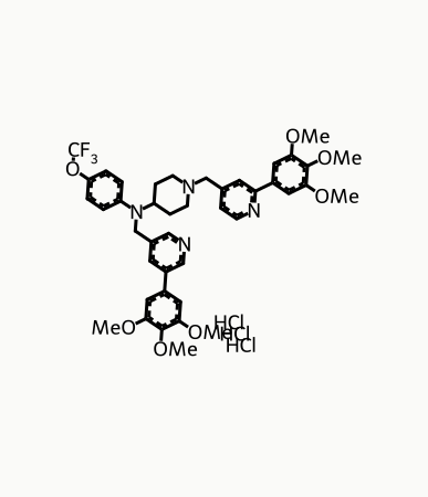 COc1cc(-c2cncc(CN(c3ccc(OC(F)(F)F)cc3)C3CCN(Cc4ccnc(-c5cc(OC)c(OC)c(OC)c5)c4)CC3)c2)cc(OC)c1OC.Cl.Cl.Cl